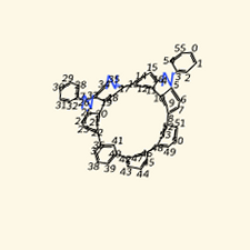 c1ccc(-n2c3ccc4cc3c3cc(ccc32)c2cc3c5cc(ccc5n(-c5ccccc5)c3cn2)c2cccc(c2)c2cccc(c2)c2cccc4c2)cc1